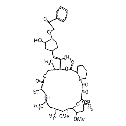 CCC1/C=C(\C)CC(C)CC(OC)C2OC(O)(C(=O)C(=O)N3CCCCC3C(=O)OC(C(C)=CC3CCC(OCC(=O)c4ccccc4)C(O)C3)C(C)CCC1=O)C(C)CC2OC